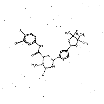 CN1C(C(=O)Nc2ccc(F)c(Cl)c2)CC(c2cc(B3OC(C)(C)C(C)(C)O3)cs2)N[S+]1[O-]